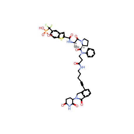 CC(C)(C)[C@H](NC(=O)c1cc2cc(C(F)(F)P(=O)(O)O)ccc2s1)C(=O)N1CCC[C@H]1C(=O)N(CCC(=O)NCCCC#Cc1cccc2c1CN(C1CCC(=O)NC1=O)C2=O)c1ccccc1